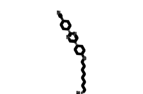 CCCCCCCCCO[C@H]1CC[C@H](c2cnc([C@H]3CC[C@H](C#N)CC3)nc2)CC1